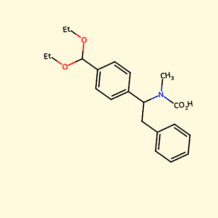 CCOC(OCC)c1ccc(C(Cc2ccccc2)N(C)C(=O)O)cc1